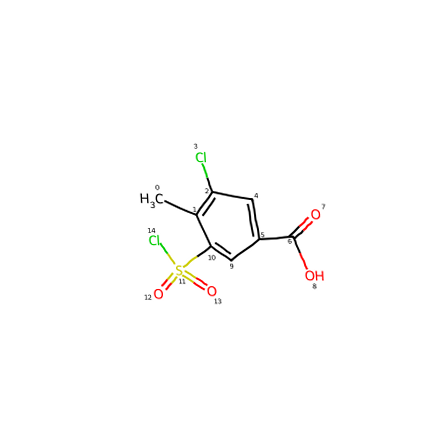 Cc1c(Cl)cc(C(=O)O)cc1S(=O)(=O)Cl